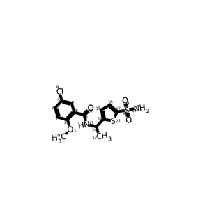 COc1ccc(Cl)cc1C(=O)NC(C)c1ccc(S(N)(=O)=O)s1